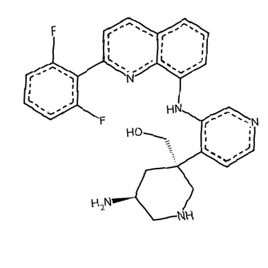 N[C@@H]1CNC[C@](CO)(c2ccncc2Nc2cccc3ccc(-c4c(F)cccc4F)nc23)C1